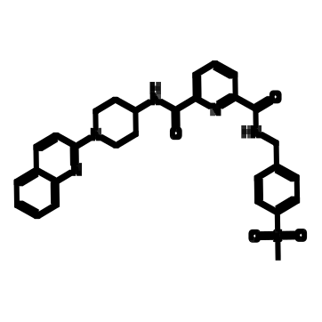 CS(=O)(=O)c1ccc(CNC(=O)c2cccc(C(=O)NC3CCN(c4ccc5ccccc5n4)CC3)n2)cc1